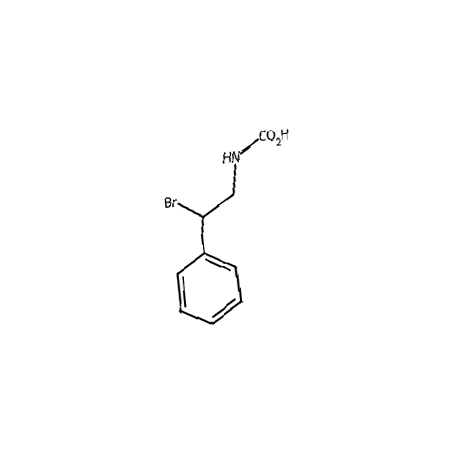 O=C(O)NCC(Br)c1ccccc1